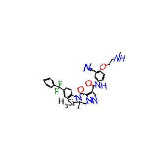 CNCCOc1ccc(NC(=O)c2cnn3c2C(=O)N(c2ccc(C(F)(F)c4ccccc4)cc2)[C@@](C)([SiH3])C3)cc1C#N